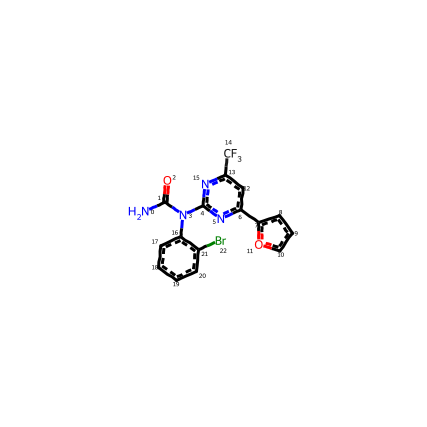 NC(=O)N(c1nc(-c2ccco2)cc(C(F)(F)F)n1)c1ccccc1Br